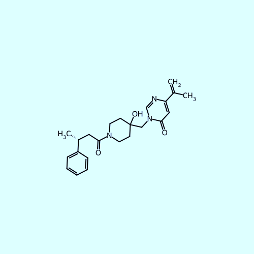 C=C(C)c1cc(=O)n(CC2(O)CCN(C(=O)C[C@@H](C)c3ccccc3)CC2)cn1